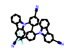 N#Cc1ccc(-c2cc(C(F)(F)F)ccc2-n2c3ccccc3c3cc(C#N)ccc32)c(-n2c3ccccc3c3cc(C#N)ccc32)c1